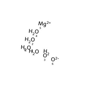 O.O.O.O.O.[Mg+2].[O-2]